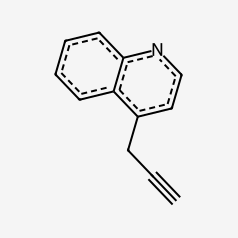 C#CCc1ccnc2ccccc12